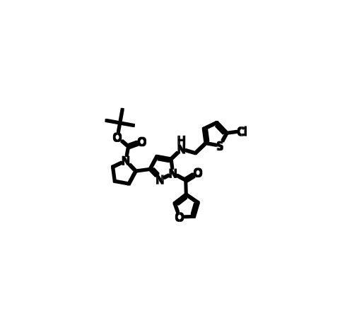 CC(C)(C)OC(=O)N1CCCC1c1cc(NCc2ccc(Cl)s2)n(C(=O)c2ccoc2)n1